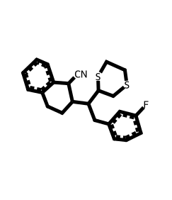 N#CC1c2ccccc2CCC1C(Cc1cccc(F)c1)C1CSCCS1